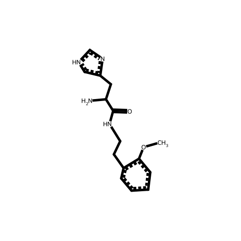 COc1ccccc1CCNC(=O)C(N)Cc1c[nH]cn1